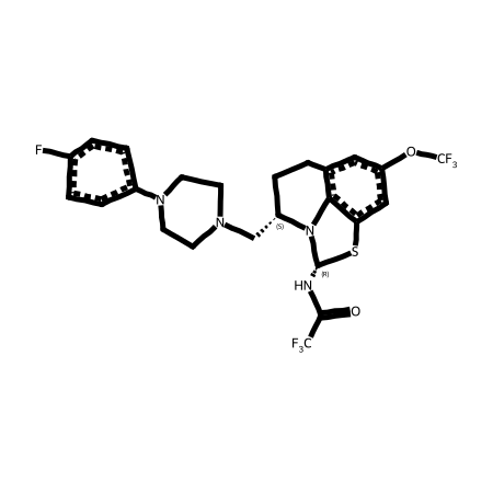 O=C(N[C@H]1Sc2cc(OC(F)(F)F)cc3c2N1[C@H](CN1CCN(c2ccc(F)cc2)CC1)CC3)C(F)(F)F